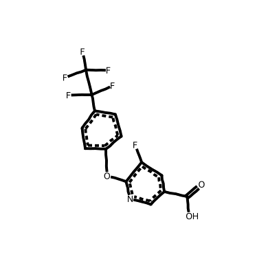 O=C(O)c1cnc(Oc2ccc(C(F)(F)C(F)(F)F)cc2)c(F)c1